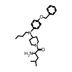 CCCCN(c1ccc(OCc2ccccc2)cc1)C1CCN(C(=O)C(N)CC(C)C)CC1